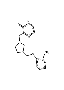 Cc1ccccc1OCC1CCN(Cc2ncc[nH]c2=O)C1